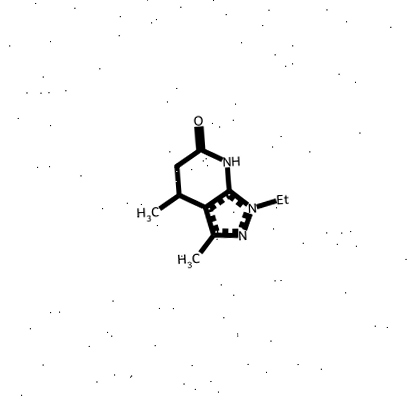 CCn1nc(C)c2c1NC(=O)CC2C